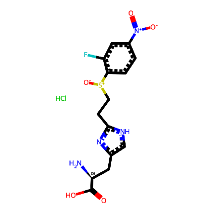 Cl.N[C@@H](Cc1c[nH]c(CC[S+]([O-])c2ccc([N+](=O)[O-])cc2F)n1)C(=O)O